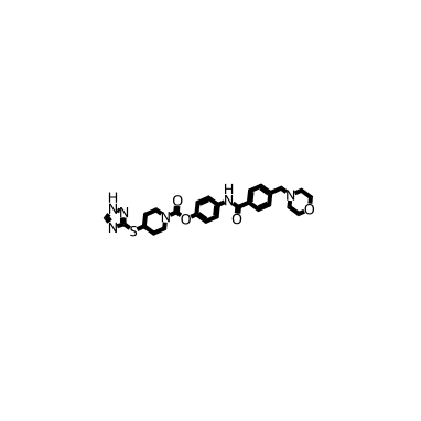 O=C(Nc1ccc(OC(=O)N2CCC(Sc3nc[nH]n3)CC2)cc1)c1ccc(CN2CCOCC2)cc1